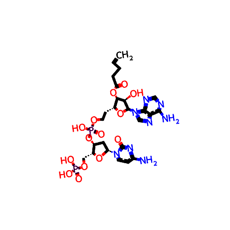 C=CCCC(=O)O[C@@H]1[C@@H](CCOP(=O)(O)O[C@H]2C[C@H](n3ccc(N)nc3=O)O[C@@H]2COP(=O)(O)O)OC(n2cnc3c(N)ncnc32)[C@@H]1O